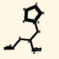 CCCCCCCCCCC(CCCCCCCC)Cn1cccc1